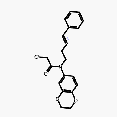 O=C(CCl)N(CC/C=C/c1ccccc1)c1ccc2c(c1)OCCO2